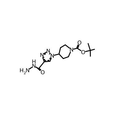 CC(C)(C)OC(=O)N1CCC(n2cc(C(=O)NN)nn2)CC1